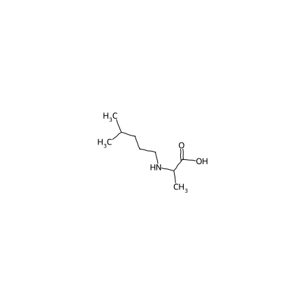 CC(C)CCCNC(C)C(=O)O